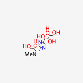 CN[C@@H](Cc1cnc([C@@H](O)[C@H](O)[C@H](O)CO)cn1)[C@H](O)CO